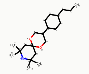 CCCC1CCC(C2COC3(CC(C)(C)NC(C)(C)C3)OC2)CC1